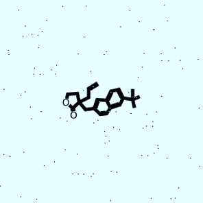 C=CCC1(Cc2ccc3cc(C(C)(C)C)ccc3c2)CCOC1=O